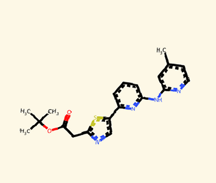 Cc1ccnc(Nc2cccc(-c3cnc(CC(=O)OC(C)(C)C)s3)n2)c1